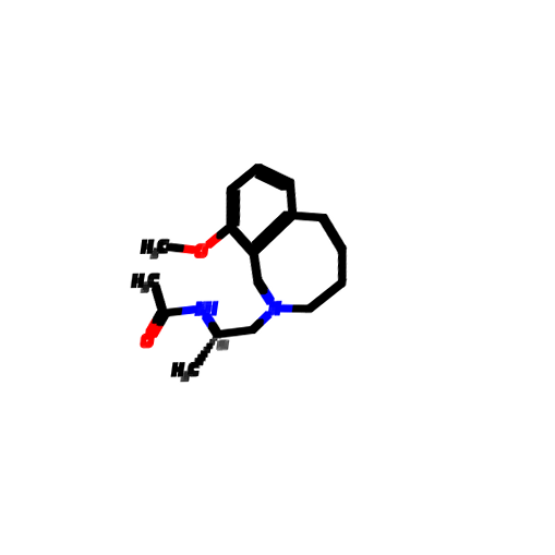 COc1cccc2c1CN(C[C@H](C)NC(C)=O)CCCC2